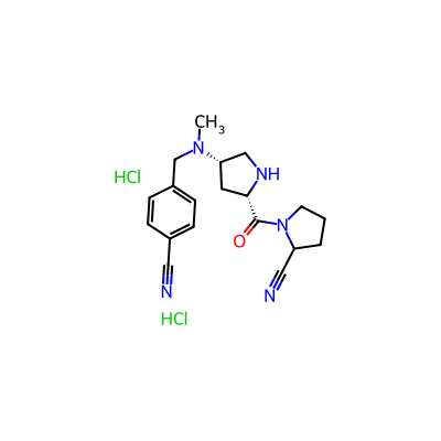 CN(Cc1ccc(C#N)cc1)[C@@H]1CN[C@H](C(=O)N2CCCC2C#N)C1.Cl.Cl